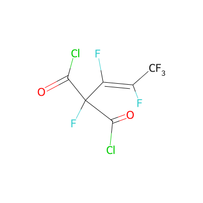 O=C(Cl)C(F)(C(=O)Cl)C(F)=C(F)C(F)(F)F